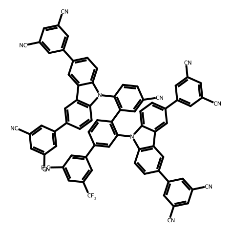 N#Cc1cc(C#N)cc(-c2ccc3c(c2)c2cc(-c4cc(C#N)cc(C#N)c4)ccc2n3-c2ccc(C#N)cc2-c2ccc(-c3cc(C(F)(F)F)cc(C(F)(F)F)c3)cc2-n2c3ccc(-c4cc(C#N)cc(C#N)c4)cc3c3cc(-c4cc(C#N)cc(C#N)c4)ccc32)c1